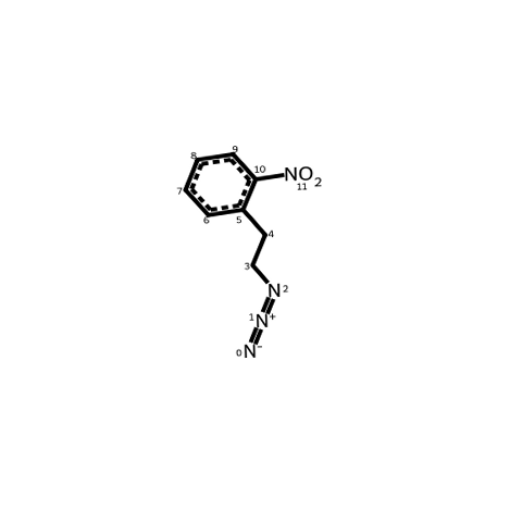 [N-]=[N+]=NCCc1ccccc1[N+](=O)[O-]